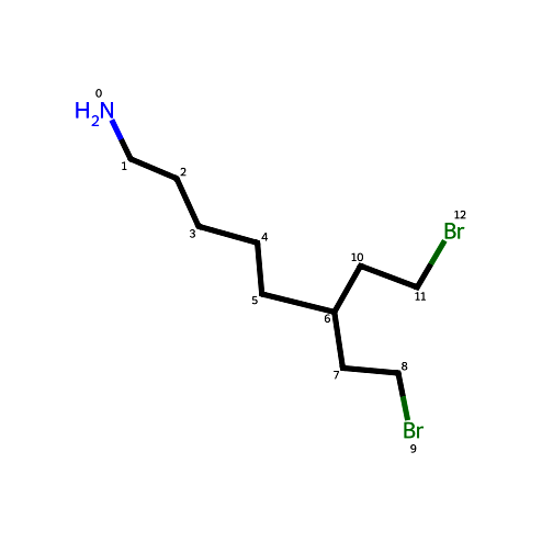 NCCCCCC(CCBr)CCBr